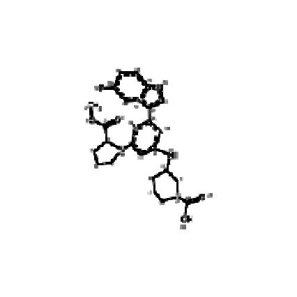 COC(=O)[C@@H]1CCCN1c1cc(NC2CCCN(C(=O)O)C2)nc(-c2cnc3ccc(F)cn23)n1